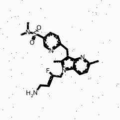 Cc1ccc2c(n1)c(Cc1ccc(S(=O)(=O)N(C)C)cn1)c(C)n2CC(F)=CCN